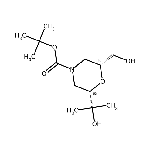 CC(C)(C)OC(=O)N1C[C@H](CO)O[C@H](C(C)(C)O)C1